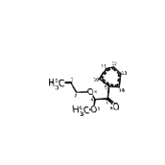 CCCOC(OC)C(=O)c1ccccc1